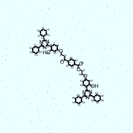 O=C(CCOc1ccc(-c2nc(-c3ccccc3)nc(-c3ccccc3)n2)c(O)c1)c1ccc(C(=O)OCCOc2ccc(-c3nc(-c4ccccc4)nc(-c4ccccc4)n3)c(O)c2)cc1